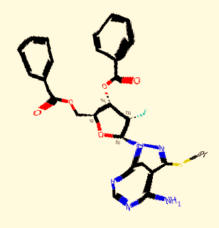 CC(C)Sc1nn([C@H]2O[C@@H](COC(=O)c3ccccc3)[C@H](OC(=O)c3ccccc3)[C@@H]2F)c2ncnc(N)c12